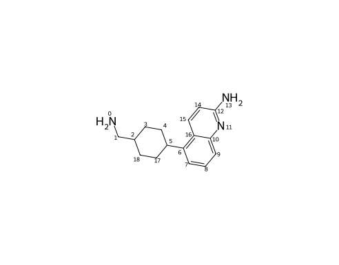 NCC1CCC(c2cccc3nc(N)ccc23)CC1